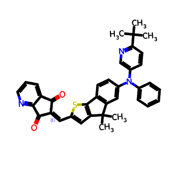 CC(C)(C)c1ccc(N(c2ccccc2)c2ccc3c(c2)C(C)(C)c2cc(/C=C4\C(=O)c5cccnc5C4=O)sc2-3)cn1